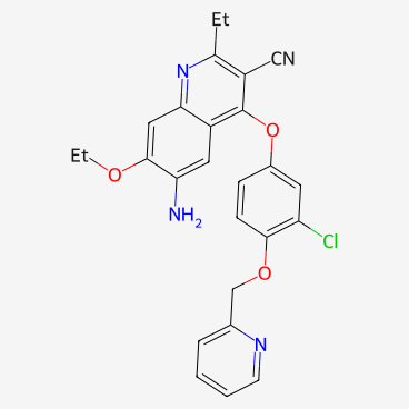 CCOc1cc2nc(CC)c(C#N)c(Oc3ccc(OCc4ccccn4)c(Cl)c3)c2cc1N